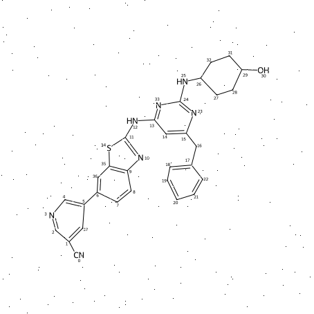 N#Cc1cncc(-c2ccc3nc(Nc4cc(Cc5ccccc5)nc(NC5CCC(O)CC5)n4)sc3c2)c1